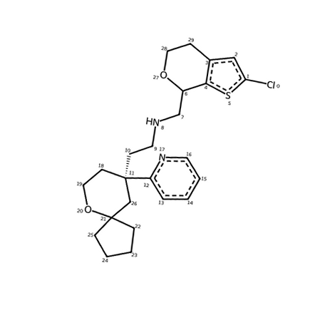 Clc1cc2c(s1)C(CNCC[C@@]1(c3ccccn3)CCOC3(CCCC3)C1)OCC2